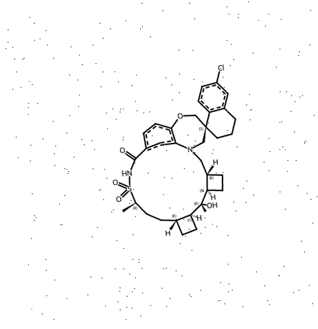 C[C@@H]1CC[C@H]2CC[C@@H]2[C@@](C)(O)[C@@H]2CC[C@H]2CN2C[C@@]3(CCCc4cc(Cl)ccc43)COc3ccc(cc32)C(=O)NS1(=O)=O